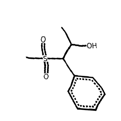 CC(O)C(c1ccccc1)S(C)(=O)=O